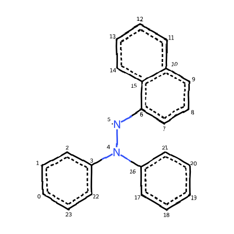 c1ccc(N([N]c2cccc3ccccc23)c2ccccc2)cc1